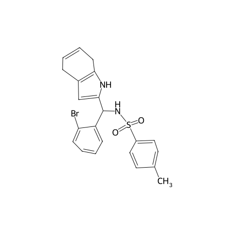 Cc1ccc(S(=O)(=O)NC(c2cc3c([nH]2)CC=CC3)c2ccccc2Br)cc1